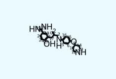 CC(CNc1ccc(OC2CCNCC2)cc1)Cc1cc(C(=N)N)ccc1O